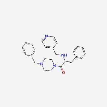 O=C([C@H](Cc1ccccc1)NCc1ccncc1)N1CCN(Cc2ccccc2)CC1